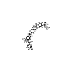 COc1cc2nn(C3CCC4(CC3)CCN(CC3CCN(C(=O)OC(C)(C)C)CC3)CC4)cc2cc1NC(=O)c1cccc(C)n1